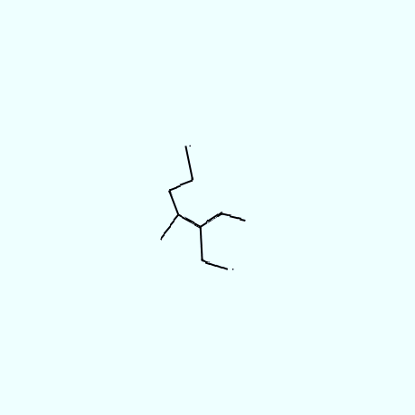 [CH2]CCC(C)C(C[CH2])CC